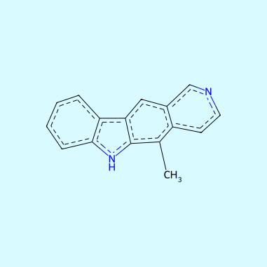 Cc1c2ccncc2cc2c1[nH]c1ccccc12